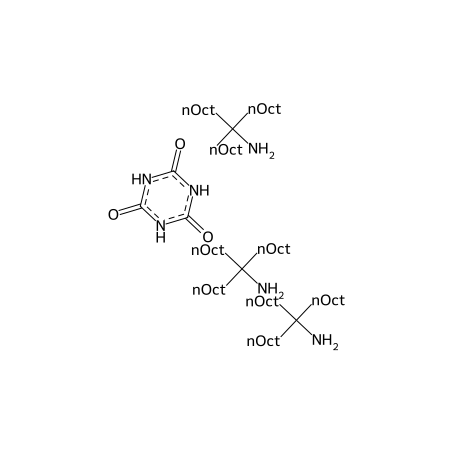 CCCCCCCCC(N)(CCCCCCCC)CCCCCCCC.CCCCCCCCC(N)(CCCCCCCC)CCCCCCCC.CCCCCCCCC(N)(CCCCCCCC)CCCCCCCC.O=c1[nH]c(=O)[nH]c(=O)[nH]1